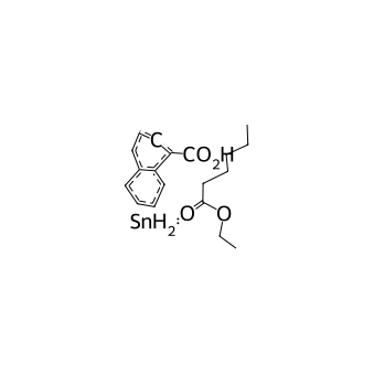 CCCCCC(=O)OCC.O=C(O)c1cccc2ccccc12.[SnH2]